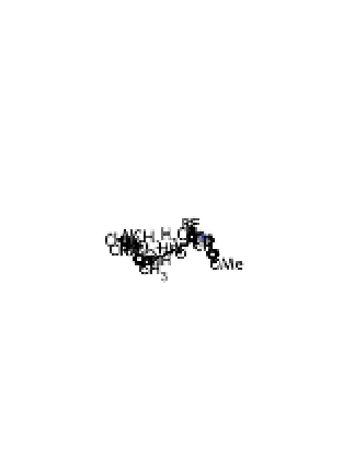 COc1ccc(C2=N/C(=C\c3c(C)c(CCC(=O)NCCCCNS(=O)(=O)c4cc(NC(=O)[C@H](C)n5ncc(Cl)c(Cl)c5=O)ccc4C)c(C)n3B(F)F)C=C2)cc1